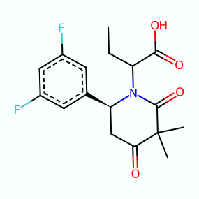 CCC(C(=O)O)N1C(=O)C(C)(C)C(=O)C[C@H]1c1cc(F)cc(F)c1